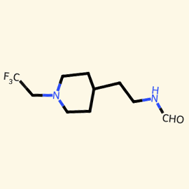 O=CNCCC1CCN(CC(F)(F)F)CC1